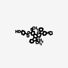 COc1cc2c3c(c4c(c2cc1OC(=O)c1ccc(O)cc1)-c1ccccc1C4(C)C)C=CC(c1ccccc1)(c1ccc(N2CCCC2)cc1)O3